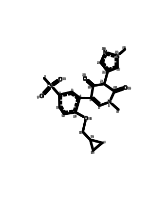 CN1C=C(c2cc(S(C)(=O)=O)ccc2OCC2CC2)C(=O)C(c2cnn(C)c2)C1=O